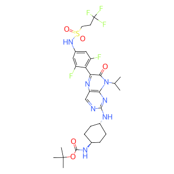 CC(C)n1c(=O)c(-c2c(F)cc(NS(=O)(=O)CCC(F)(F)F)cc2F)nc2cnc(N[C@H]3CC[C@H](NC(=O)OC(C)(C)C)CC3)nc21